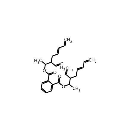 C=CC=CCC(C=C)C(C)OC(=O)c1ccccc1C(=O)OC(C)C(C=C)CC=CC=C